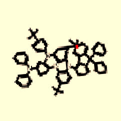 CC(C)(C)c1ccc(N2c3cc(N(c4ccccc4)c4ccccc4)ccc3B3c4cc(C(C)(C)C)ccc4N4c5cc(cc2c53)C(C)(C)c2ccc3c(c2)C(c2ccccc2)(c2ccccc2)c2cccc4c2-3)cc1